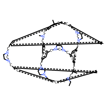 CCN1Cc2cc3cc(c2)CN2CCN(Cc4cc5cc(c4)CN4CCN(Cc6cc(cc(c6)CN6CCN(Cc7cc(cc(c7)CN7CCN(C3)C7)CC(C)C=CCN(C)C5)C6)CC(C)C1)C4)C2